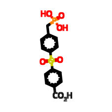 O=C(O)c1ccc(S(=O)(=O)c2ccc(CP(=O)(O)O)cc2)cc1